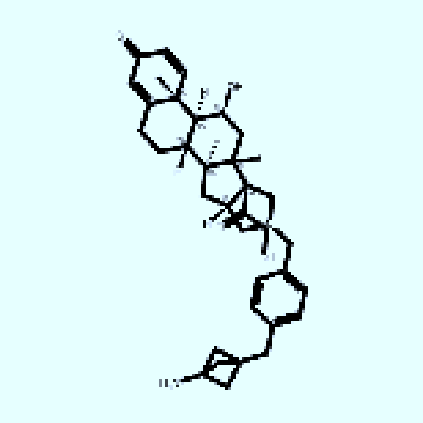 C[C@]12C=CC(=O)C=C1CC[C@@H]1[C@@H]2[C@@H](O)C[C@@]2(C)[C@H]1C[C@H]1CN(Cc3ccc(CC45CC(N)(C4)C5)cc3)C[C@]12C(=O)CO